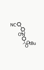 CC(C(=O)OC(C)(C)C)c1ccc(N2Cc3ccc(-c4cccc(C#N)c4)cc3C2=O)cc1